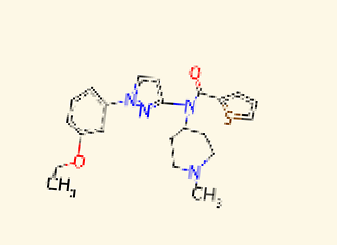 CCOc1cccc(-n2ccc(N(C(=O)c3cccs3)C3CCN(C)CC3)n2)c1